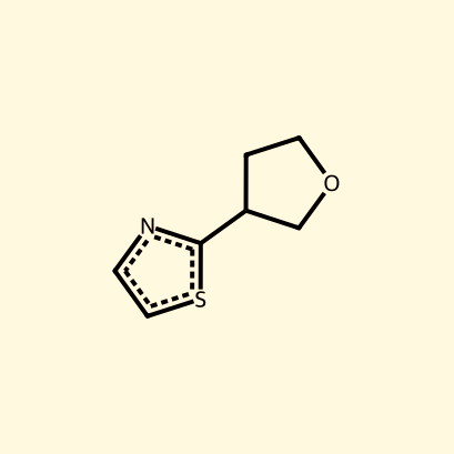 c1csc(C2CCOC2)n1